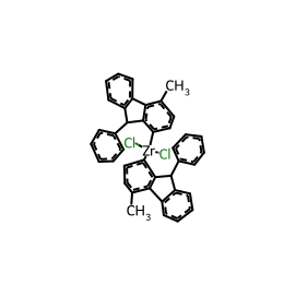 Cc1cc[c]([Zr]([Cl])([Cl])[c]2ccc(C)c3c2C(c2ccccc2)c2ccccc2-3)c2c1-c1ccccc1C2c1ccccc1